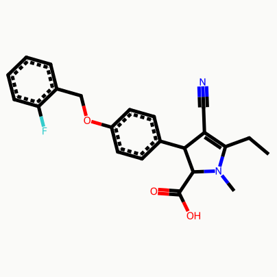 CCC1=C(C#N)C(c2ccc(OCc3ccccc3F)cc2)C(C(=O)O)N1C